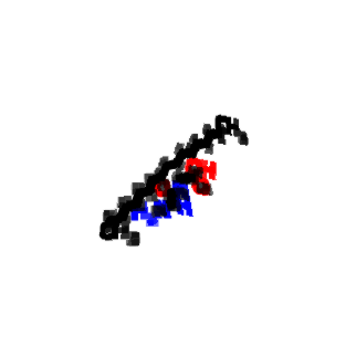 CCCCCCCCCCCCCCCCCC.NCC(=O)NCC(=O)O